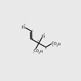 CCC=CC(CC)(CC(=O)O)C(=O)O